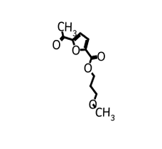 COCCCOC(=O)c1ccc(C(C)=O)o1